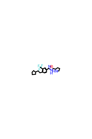 FC(F)(F)c1cc(C2=NOC(C3CCCN3)N2)ccc1CCC1CCCC1